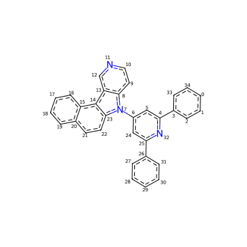 c1ccc(-c2cc(-n3c4ccncc4c4c5ccccc5ccc43)cc(-c3ccccc3)n2)cc1